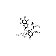 COC1=CC(=O)C2C(=O)C1(CC=C(C)C)CC(OC(=S)Oc1c(F)c(F)c(F)c(F)c1F)C2(C)CCCC(C)(C)C